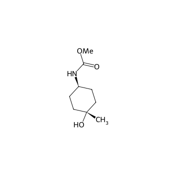 COC(=O)N[C@H]1CC[C@](C)(O)CC1